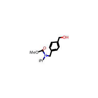 COC(=O)N(Cc1ccc(CO)cc1)C(C)C